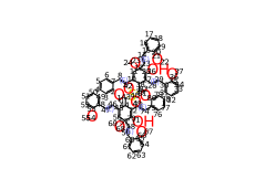 COc1ccccc1/C=C/C1=CC(/C=C/c2ccccc2OC)(OC)C(O)=C(/C=C/c2ccccc2OC)C1CS(=O)(=O)CC1C(/C=C/c2ccccc2OC)=CC(/C=C/c2ccccc2OC)(OC)C(O)=C1/C=C/c1ccccc1OC